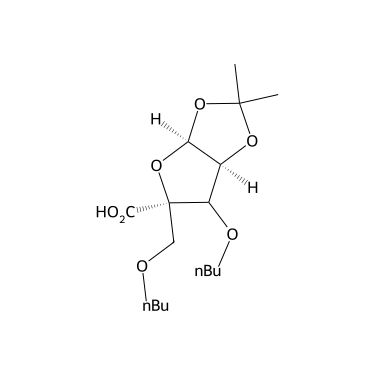 CCCCOC[C@@]1(C(=O)O)O[C@H]2OC(C)(C)O[C@H]2C1OCCCC